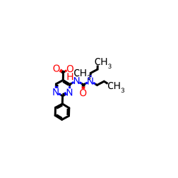 CCCN(CCC)C(=O)N(C)c1nc(-c2ccccc2)ncc1C(=O)O